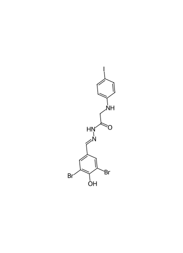 O=C(CNc1ccc(I)cc1)NN=Cc1cc(Br)c(O)c(Br)c1